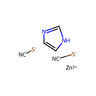 N#C[S-].N#C[S-].[Zn+2].c1c[nH]cn1